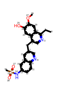 CCc1ncc(Cc2cnc3ccc(NS(C)(=O)=O)cc3c2)c2cc(O)c(OC)cc12